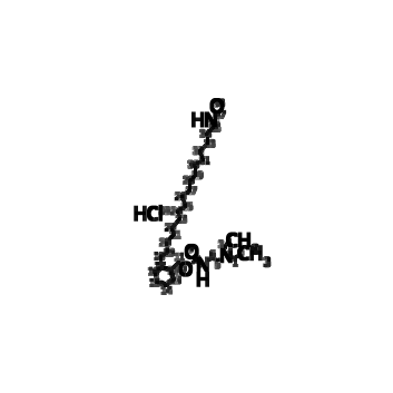 CCN(CC)CCNC(=O)OCc1ccccc1CCCCCCCCCCCCCCCCCCNC=O.Cl